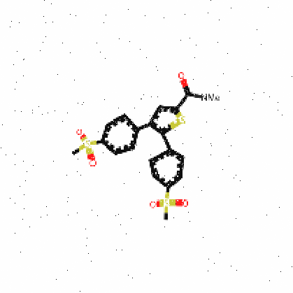 CNC(=O)c1cc(-c2ccc(S(C)(=O)=O)cc2)c(-c2ccc(S(C)(=O)=O)cc2)s1